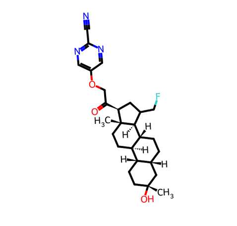 C[C@@]1(O)CC[C@H]2[C@H](CC[C@@H]3[C@@H]2CC[C@]2(C)[C@@H](C(=O)COc4cnc(C#N)nc4)CC(CF)[C@@H]32)C1